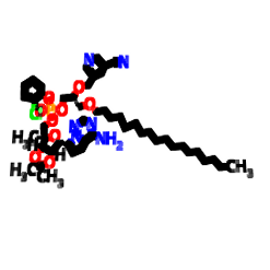 CCCCCCCCCCCCCCCCCCOC[C@H](COP(=O)(OC[C@@]1(C)O[C@@H](c2ccc3c(N)ncnn23)[C@@H]2OC(C)(C)O[C@@H]21)Oc1ccccc1Cl)OCc1cncc(C#N)c1